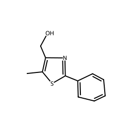 Cc1sc(-c2ccccc2)nc1CO